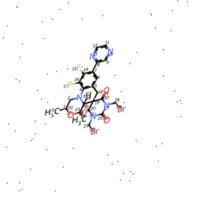 C[C@H]1CN2c3c(cc(-c4cnccn4)c(F)c3F)CC3(C(=O)N(CBr)C(=O)N(CBr)C3=O)[C@@H]2[C@@H](C)O1